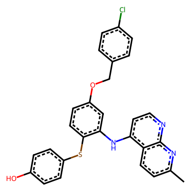 Cc1ccc2c(Nc3cc(OCc4ccc(Cl)cc4)ccc3Sc3ccc(O)cc3)ccnc2n1